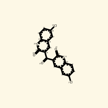 O=C(c1cc2cc(Cl)ccc2sc1=O)c1cc2cc(Cl)ccc2sc1=O